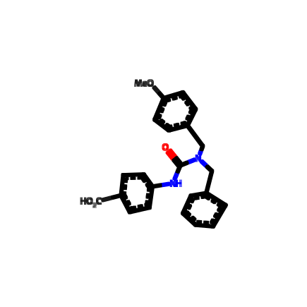 COc1ccc(CN(Cc2ccccc2)C(=O)Nc2ccc(C(=O)O)cc2)cc1